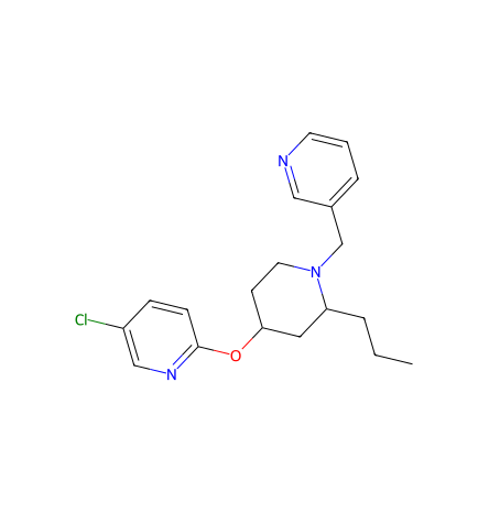 CCCC1CC(Oc2ccc(Cl)cn2)CCN1Cc1cccnc1